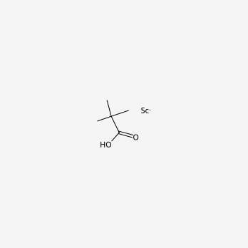 CC(C)(C)C(=O)O.[Sc]